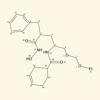 CCOCOCC(CC(Cc1ccccc1)C(=O)NO)NC(=O)C1CC=CCC1